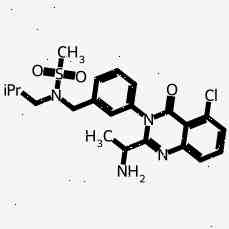 CC(C)CN(Cc1cccc(-n2c(C(C)N)nc3cccc(Cl)c3c2=O)c1)S(C)(=O)=O